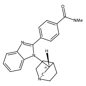 CNC(=O)c1ccc(-c2nc3ccccc3n2[C@H]2CN3CCC2CC3)cc1